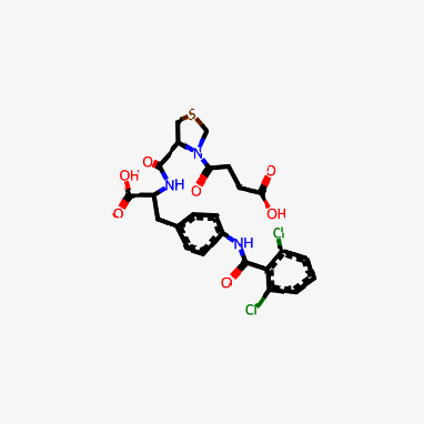 O=C(O)CCC(=O)N1CSCC1C(=O)NC(Cc1ccc(NC(=O)c2c(Cl)cccc2Cl)cc1)C(=O)O